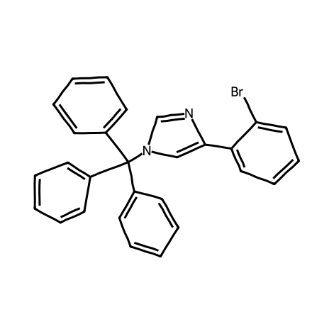 Brc1ccccc1-c1cn(C(c2ccccc2)(c2ccccc2)c2ccccc2)cn1